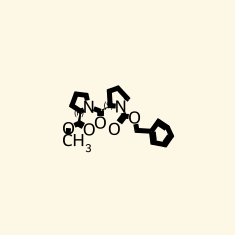 COC(=O)[C@H]1CCCN1C(=O)[C@@H]1CCCN1C(=O)OCc1ccccc1